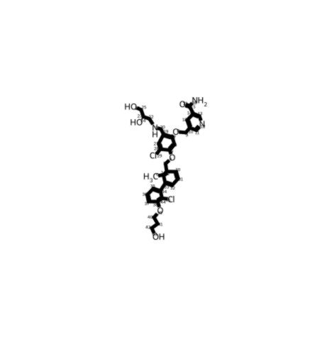 Cc1c(COc2cc(OCc3cncc(C(N)=O)c3)c(CNC[C@H](O)CO)cc2Cl)cccc1-c1cccc(OCCCO)c1Cl